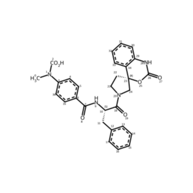 CN(C(=O)O)c1ccc(C(=O)N[C@@H](Cc2ccccc2)C(=O)N2CC[C@@]3(C2)OC(=O)Nc2ccccc23)cc1